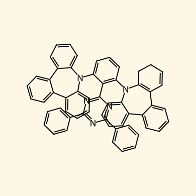 C1=CC2=C(CC1)N(c1cccc(N3c4ccccc4-c4ccccc4-c4ccccc43)c1-c1nc(-c3ccccc3)nc(-c3ccccc3)n1)c1ccccc1-c1ccccc12